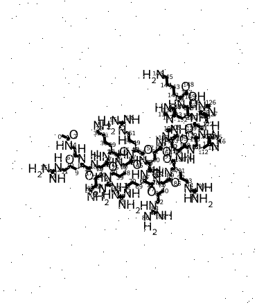 CC(=O)NCC(=O)N[C@@H](CCCNC(=N)N)C(=O)N[C@@H](CCCCN)C(=O)N[C@@H](CCCCN)C(=O)N[C@@H](CCCNC(=N)N)C(=O)N[C@@H](CCCNC(=N)N)C(=O)N[C@@H](CCC(N)=O)C(=O)N[C@@H](CCCNC(=N)N)C(=O)N[C@@H](CCCNC(=N)N)C(=O)N[C@@H](CCCNC(=N)N)C(=O)N[C@@H](Cc1c[nH]cn1)C(=O)N[C@@H](Cc1c[nH]cn1)C(=O)N[C@@H](Cc1c[nH]cn1)C(=O)N[C@@H](Cc1c[nH]cn1)C(=O)N[C@@H](CCCCN)C(=O)O